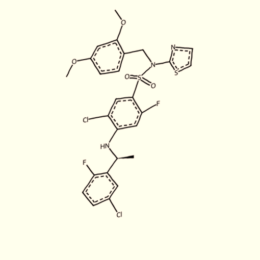 COc1ccc(CN(c2nccs2)S(=O)(=O)c2cc(Cl)c(N[C@@H](C)c3cc(Cl)ccc3F)cc2F)c(OC)c1